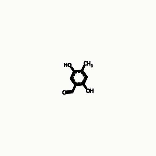 Cc1cc(O)c(C=O)cc1O